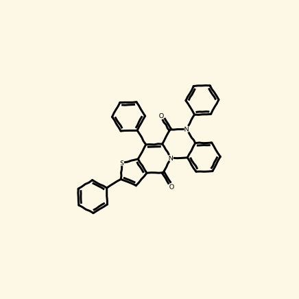 O=c1c2c(-c3ccccc3)c3sc(-c4ccccc4)cc3c(=O)n2c2ccccc2n1-c1ccccc1